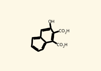 O=C(O)c1c(O)cc2ccccc2c1C(=O)O